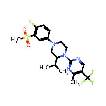 Cc1nc(N2CCN(c3ccc(F)c(S(C)(=O)=O)c3)CC2C(C)C)ncc1C(F)(F)F